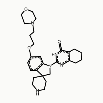 O=c1[nH]c(N2CC3(CCNCC3)c3ccc(OCCCN4CCOCC4)cc32)nc2c1CCCC2